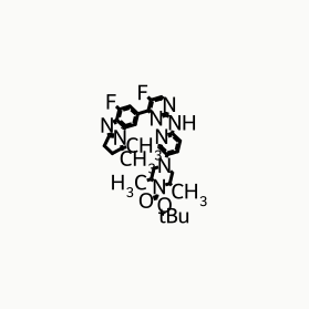 CC1CN(c2ccc(Nc3ncc(F)c(-c4cc(F)c5nc6n(c5c4)C(C)(C)CC6)n3)nc2)CC(C)N1C(=O)OC(C)(C)C